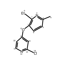 CCc1nc(C)ccc1Oc1ccnc(Cl)c1